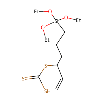 C=CC(CCC[Si](OCC)(OCC)OCC)SC(=S)S